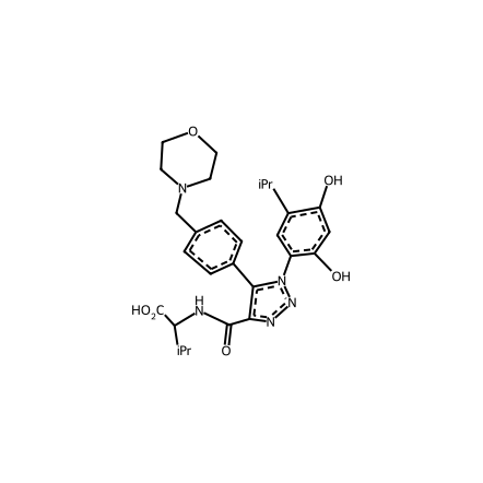 CC(C)c1cc(-n2nnc(C(=O)NC(C(=O)O)C(C)C)c2-c2ccc(CN3CCOCC3)cc2)c(O)cc1O